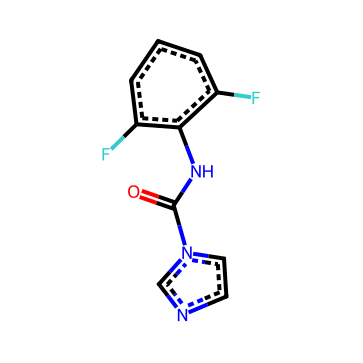 O=C(Nc1c(F)cccc1F)n1ccnc1